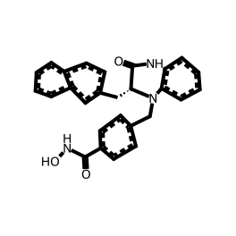 O=C(NO)c1ccc(CN2c3ccccc3NC(=O)[C@H]2Cc2ccc3ccccc3c2)cc1